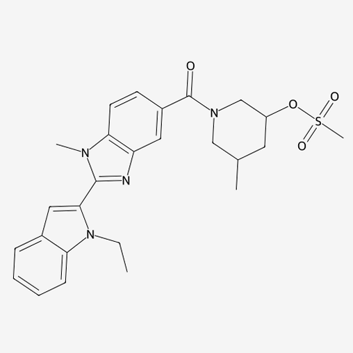 CCn1c(-c2nc3cc(C(=O)N4CC(C)CC(OS(C)(=O)=O)C4)ccc3n2C)cc2ccccc21